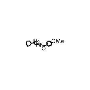 COc1ccc(C(=O)NCc2cc(C3CCCCC3)no2)cc1